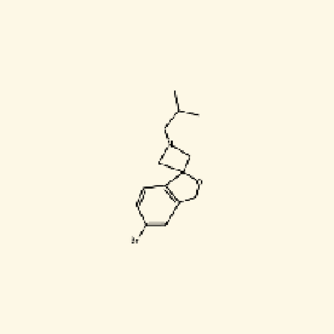 C[C](C)CN1CC2(C1)OCc1cc(Br)ccc12